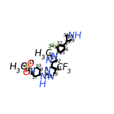 Cc1nc(-c2nc(NC3CCN(S(C)(=O)=O)CC3)ncc2C(F)(F)F)cn1-c1ccc(C2CNC2)cc1F